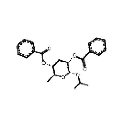 CC(C)O[C@@H]1OC(C)[C@H](OC(=O)c2ccccc2)C[C@@H]1OC(=O)c1ccccc1